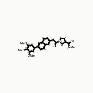 CNC(=O)C1CCN(C(=O)Cc2ccc3cc(-c4cc(OC)c(OC)c(OC)c4)ccc3c2)C1